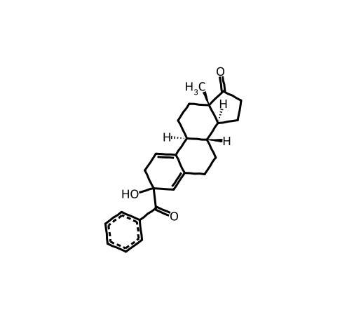 C[C@]12CC[C@@H]3C4=CCC(O)(C(=O)c5ccccc5)C=C4CC[C@H]3[C@@H]1CCC2=O